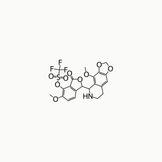 COc1ccc2c(c1OS(=O)(=O)C(F)(F)F)C(=O)OC2C1NCCc2cc3c(c(OC)c21)OCO3